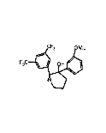 COc1cccc(C2(O)CCC[N]C2c2cc(C(F)(F)F)cc(C(F)(F)F)c2)c1